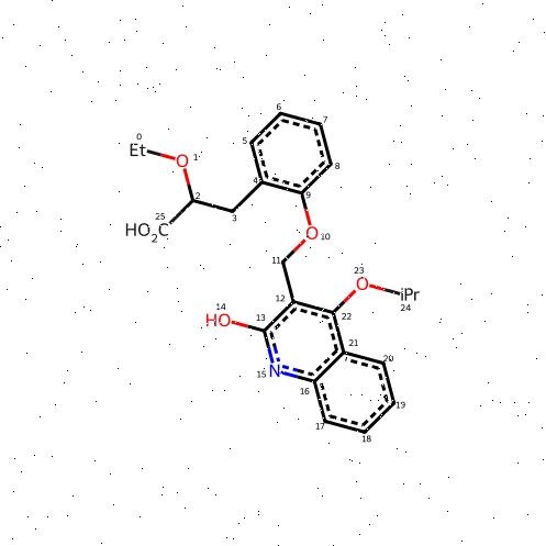 CCOC(Cc1ccccc1OCc1c(O)nc2ccccc2c1OC(C)C)C(=O)O